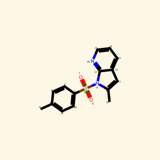 Cc1ccc(S(=O)(=O)n2c(C)cc3cccnc32)cc1